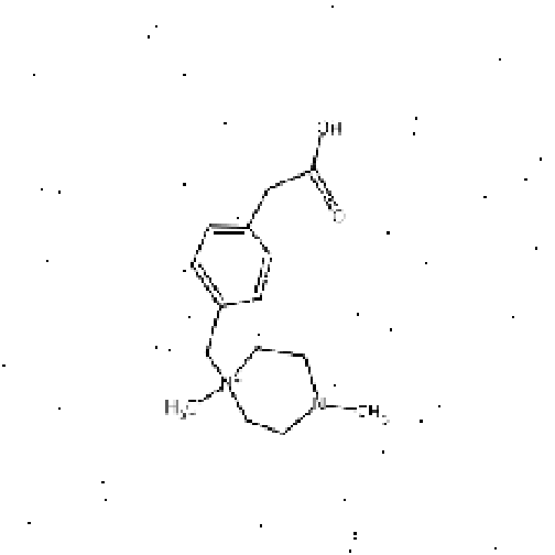 CN1CC[N+](C)(Cc2ccc(CC(=O)O)cc2)CC1